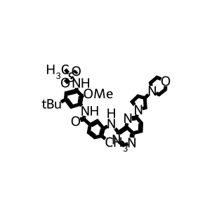 COc1c(NC(=O)c2ccc(C)c(Nc3ncnc4ccc(N5CCC(N6CCOCC6)C5)nc34)c2)cc(C(C)(C)C)cc1NS(C)(=O)=O